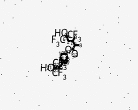 CC(CC(O)(C(F)(F)F)C(F)(F)F)C(C)C(=O)OC1CC2CC1CC2CC(O)(C(F)(F)F)C(F)(F)F